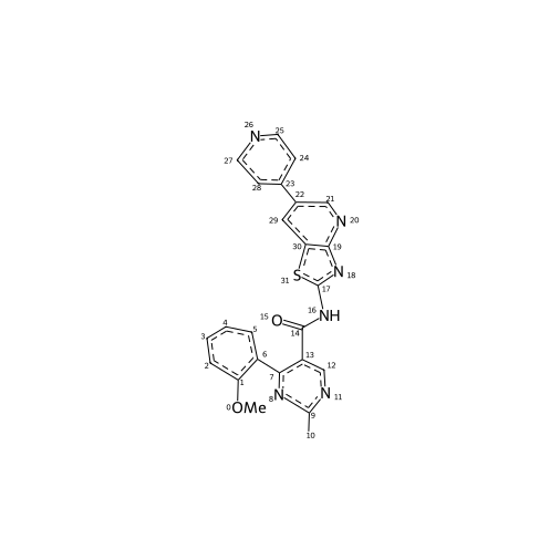 COc1ccccc1-c1nc(C)ncc1C(=O)Nc1nc2ncc(-c3ccncc3)cc2s1